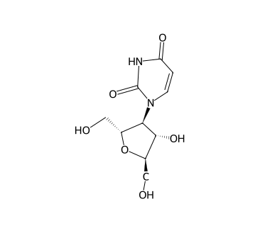 O=c1ccn([C@H]2[C@H](O)[C@@H](CO)O[C@@H]2CO)c(=O)[nH]1